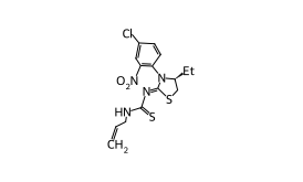 C=CCNC(=S)N=C1SC[C@H](CC)N1c1ccc(Cl)cc1[N+](=O)[O-]